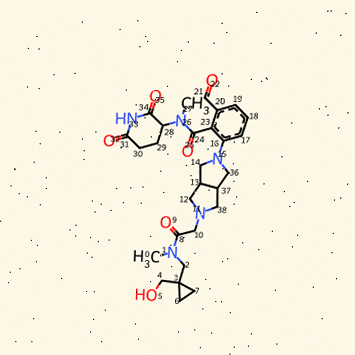 CN(CC1(CO)CC1)C(=O)CN1CC2CN(c3cccc(C=O)c3C(=O)N(C)C3CCC(=O)NC3=O)CC2C1